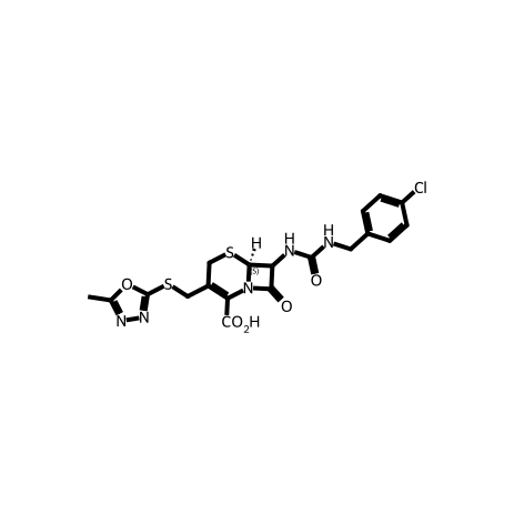 Cc1nnc(SCC2=C(C(=O)O)N3C(=O)C(NC(=O)NCc4ccc(Cl)cc4)[C@@H]3SC2)o1